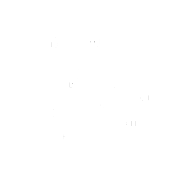 CC1(C)C[C@H]1/C=C(\Br)C(F)(F)F.O=C(O)O